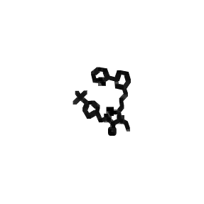 CCn1c(CCCc2cccc(-c3ccccn3)c2)nn(Cc2ccc(C(C)(C)C)cc2)c1=O